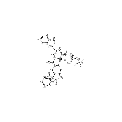 CN1N=C2CCN(C(=O)[C@@H](COc3ccc4ccccc4c3)NC(=O)C(C)(C)NC(=O)OC(C)(C)C)C[C@@]2(Cc2ccccc2)C1=O